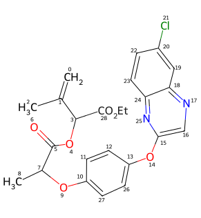 C=C(C)C(OC(=O)C(C)Oc1ccc(Oc2cnc3cc(Cl)ccc3n2)cc1)C(=O)OCC